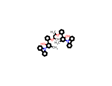 Cc1cc(-c2ccccc2OC(C)CC(C)Oc2ccccc2-c2cc(C)cc(-n3c4ccccc4c4ccccc43)c2O)c(O)c(-n2c3ccccc3c3ccccc32)c1